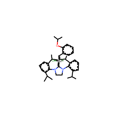 CC(C)Oc1ccccc1[CH]=[Ru-4]([Cl])([Cl])=[C]1N(c2c(C(C)C)cccc2C(C)C)CCN1c1c(C(C)C)cccc1C(C)C